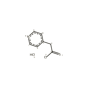 Cl.S=C(Cl)Cc1ccncc1